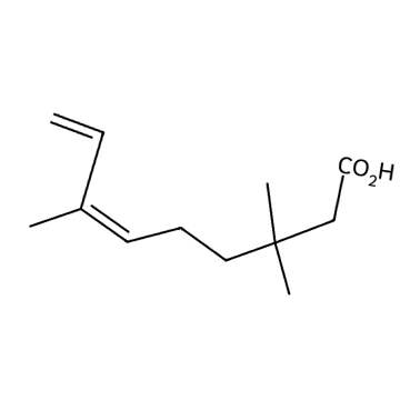 C=CC(C)=CCCC(C)(C)CC(=O)O